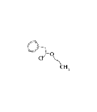 CCCOC(Cl)Cc1ccccc1